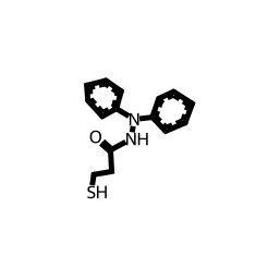 O=C(CCS)NN(c1ccccc1)c1ccccc1